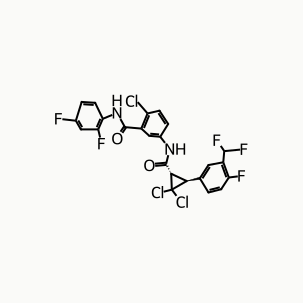 O=C(Nc1ccc(F)cc1F)c1cc(NC(=O)[C@@H]2[C@@H](c3ccc(F)c(C(F)F)c3)C2(Cl)Cl)ccc1Cl